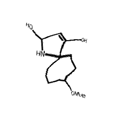 COC1CCC2(CC1)NC(O)C=C2O